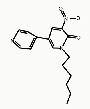 CCCCCCn1cc(-c2ccncc2)cc([N+](=O)[O-])c1=O